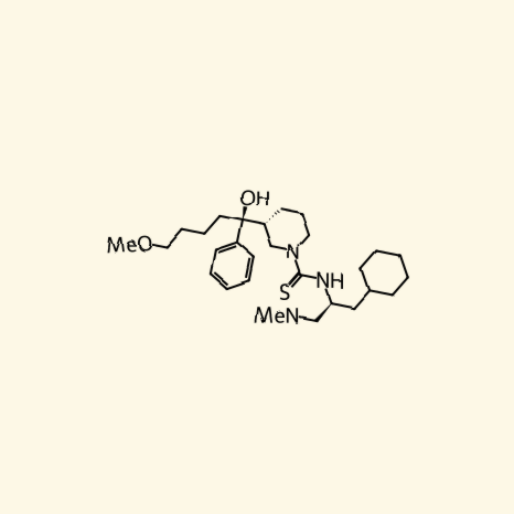 CNC[C@H](CC1CCCCC1)NC(=S)N1CCC[C@@H]([C@@](O)(CCCCOC)c2ccccc2)C1